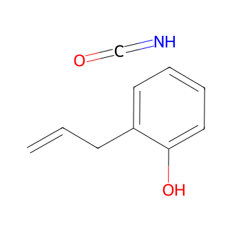 C=CCc1ccccc1O.N=C=O